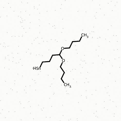 CCCCOC(CC[CH2][SnH])OCCCC